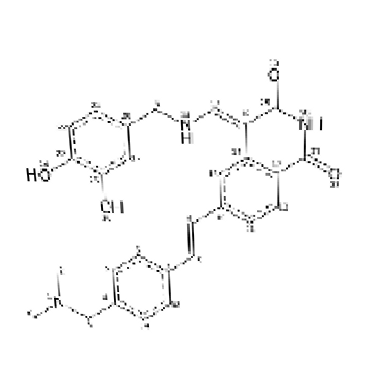 CN(C)Cc1ccc(/C=C/c2ccc3c(c2)/C(=C\NCc2ccc(O)c(O)c2)C(=O)NC3=O)cc1